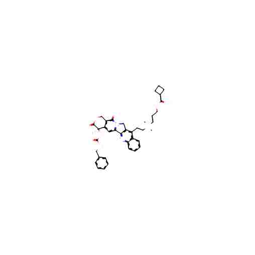 CC[C@@]1(OC(=O)OCc2ccccc2)C(=O)OCc2c1cc1n(c2=O)Cc2c-1nc1ccccc1c2CC[Si](C)(C)CCCOC(=O)C1CCC1